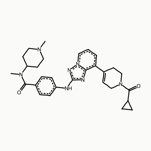 CN1CCC(N(C)C(=O)c2ccc(Nc3nc4c(C5=CCN(C(=O)C6CC6)CC5)cccn4n3)cc2)CC1